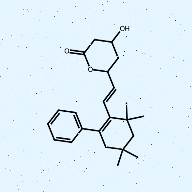 CC1(C)CC(c2ccccc2)=C(C=CC2CC(O)CC(=O)O2)C(C)(C)C1